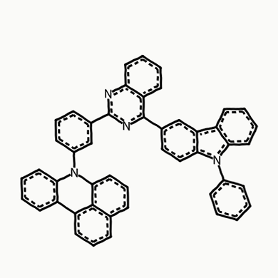 c1ccc(-n2c3ccccc3c3cc(-c4nc(-c5cccc(N6c7ccccc7-c7cccc8cccc6c78)c5)nc5ccccc45)ccc32)cc1